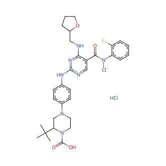 CC(C)(C)C1CN(c2ccc(Nc3ncc(C(=O)N(Cl)c4ccccc4F)c(NCC4CCCO4)n3)cc2)CCN1C(=O)O.Cl